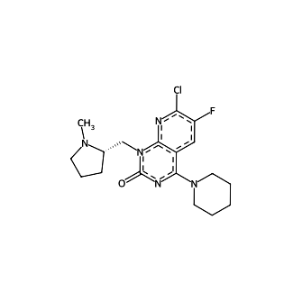 CN1CCC[C@H]1Cn1c(=O)nc(N2CCCCC2)c2cc(F)c(Cl)nc21